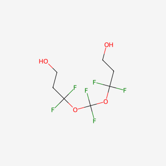 OCCC(F)(F)OC(F)(F)OC(F)(F)CCO